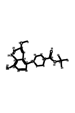 COc1cc2c(N3CCN(C(=O)OC(C)(C)C)CC3)ccc(Br)c2nn1